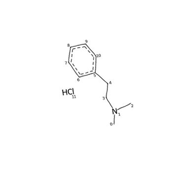 CN(C)CCc1ccccc1.Cl